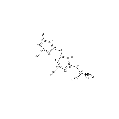 Cc1cc(C)cc(Cc2cc(F)cc(CC(N)=O)c2)c1